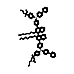 CCCCCCCCc1cc(-c2ccc(N(c3ccc(-c4ccccc4)cc3)c3ccc(C(C)(CC)CCC)cc3)cc2)c2ccccc2c1-c1c(CCCCCCCC)cc(-c2ccc(N(c3ccc(-c4ccccc4)cc3)c3ccc(C(C)(CCC)CCCCC)cc3)cc2)c2ccccc12